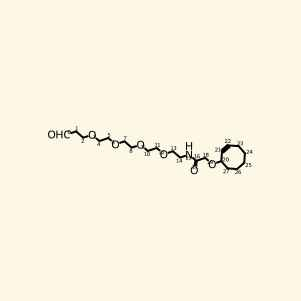 O=CCCOCCOCCOCCOCCNC(=O)COC1C#CCCCCC1